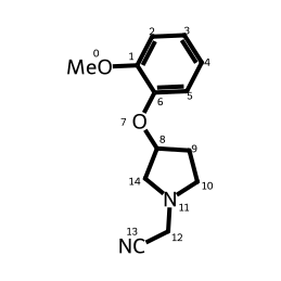 COc1ccccc1OC1CCN(CC#N)C1